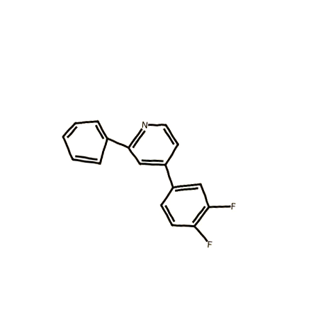 Fc1ccc(-c2ccnc(-c3ccccc3)c2)cc1F